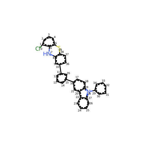 Clc1cccc2c1Nc1cc(-c3cccc(-c4ccc5c(c4)c4ccccc4n5-c4ccccc4)c3)ccc1S2